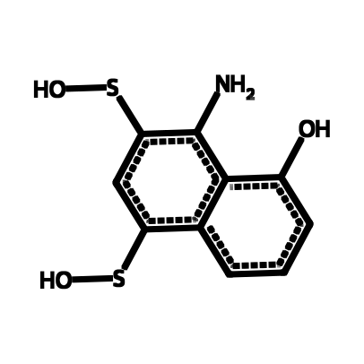 Nc1c(SO)cc(SO)c2cccc(O)c12